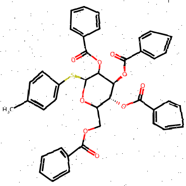 Cc1ccc(S[C@@H]2OC(COC(=O)c3ccccc3)[C@@H](OC(=O)c3ccccc3)[C@H](OC(=O)c3ccccc3)C2OC(=O)c2ccccc2)cc1